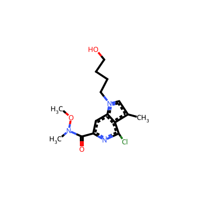 CON(C)C(=O)c1cc2c(c(C)cn2CCCCO)c(Cl)n1